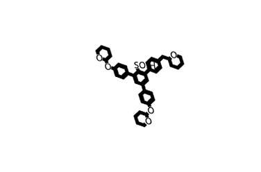 O=S(=O)(O)c1c(-c2ccc(CC3CCCCO3)cc2)cc(-c2ccc(OC3CCCCO3)cc2)cc1-c1ccc(OC2CCCCO2)cc1